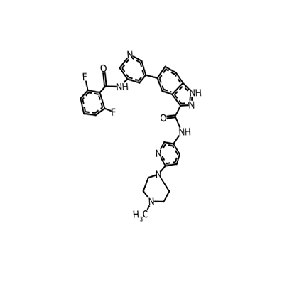 CN1CCN(c2ccc(NC(=O)c3n[nH]c4ccc(-c5cncc(NC(=O)c6c(F)cccc6F)c5)cc34)cn2)CC1